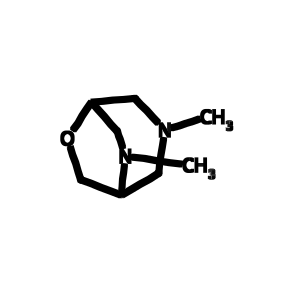 CN1CC2CN(C)C(CO2)C1